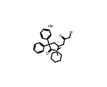 Br.CN(C)C(=O)C(CC(CC(=O)CBr)N1CCCCC1)(c1ccccc1)c1ccccc1